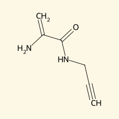 C#CCNC(=O)C(=C)N